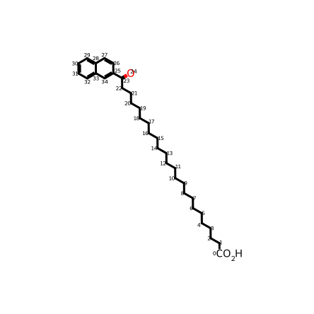 O=C(O)CCCCCCCCCCCCCCCCCCCCCCC(=O)c1ccc2ccccc2c1